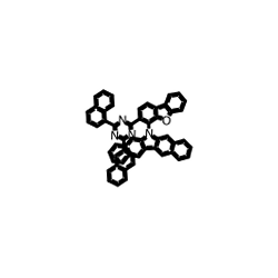 c1ccc2cc(-c3nc(-c4ccc5c(oc6ccccc65)c4-n4c5cc6ccccc6cc5c5cc6ccccc6cc54)nc(-c4cccc5ccccc45)n3)ccc2c1